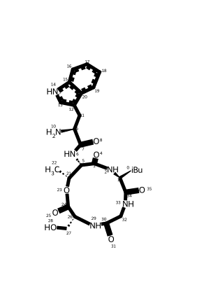 CC[C@H](C)[C@@H]1NC(=O)[C@@H](NC(=O)[C@@H](N)Cc2c[nH]c3ccccc23)[C@@H](C)OC(=O)[C@@H](CO)NC(=O)CNC1=O